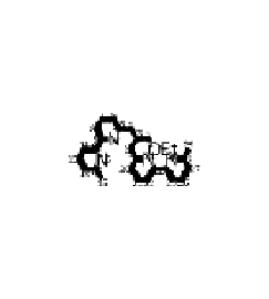 CCOCC(Cc1cccc(-c2cccc(C)n2)n1)Cc1cccc(-c2cccc(C)n2)n1